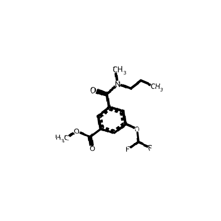 CCCN(C)C(=O)c1cc(OC(F)F)cc(C(=O)OC)c1